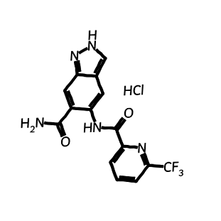 Cl.NC(=O)c1cc2n[nH]cc2cc1NC(=O)c1cccc(C(F)(F)F)n1